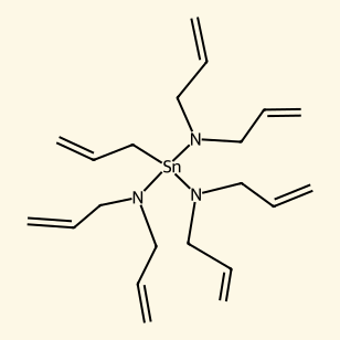 C=CC[N](CC=C)[Sn]([CH2]C=C)([N](CC=C)CC=C)[N](CC=C)CC=C